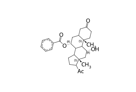 CC(=O)C1CCC2C3C([C@H](O)C[C@]12C)[C@@]1(C)CCC(=O)CC1C[C@H]3OC(=O)c1ccccc1